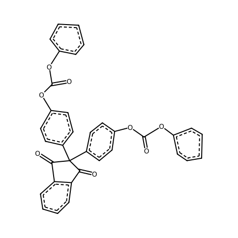 O=C(Oc1ccccc1)Oc1ccc(C2(c3ccc(OC(=O)Oc4ccccc4)cc3)C(=O)c3ccccc3C2=O)cc1